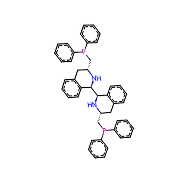 c1ccc(P(C[C@H]2Cc3ccccc3[C@H]([C@@H]3N[C@@H](CP(c4ccccc4)c4ccccc4)Cc4ccccc43)N2)c2ccccc2)cc1